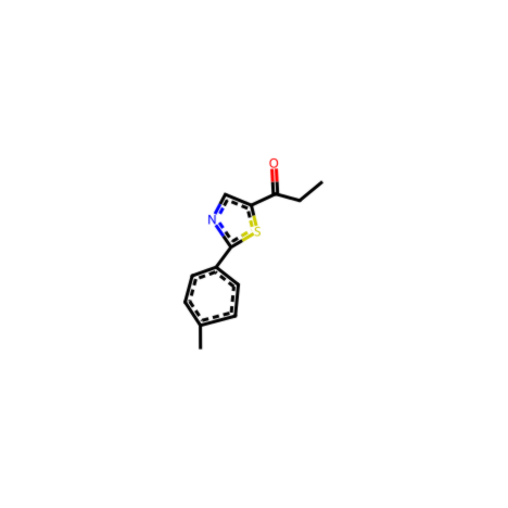 CCC(=O)c1cnc(-c2ccc(C)cc2)s1